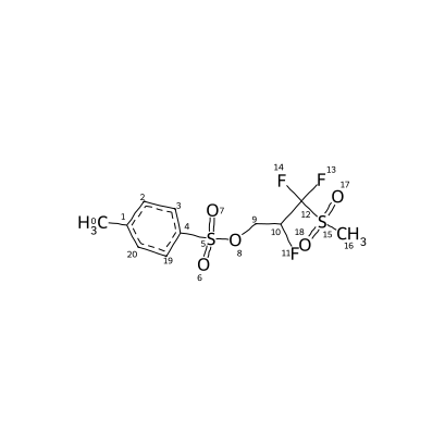 Cc1ccc(S(=O)(=O)OCC(F)C(F)(F)S(C)(=O)=O)cc1